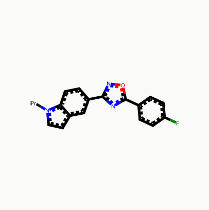 CC(C)n1ccc2cc(-c3noc(-c4ccc(F)cc4)n3)ccc21